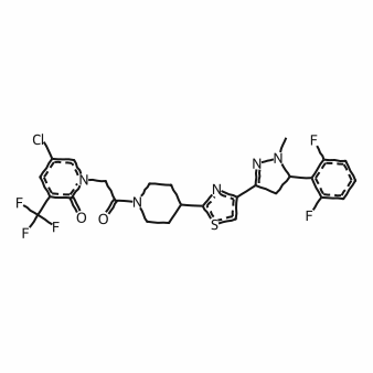 CN1N=C(c2csc(C3CCN(C(=O)Cn4cc(Cl)cc(C(F)(F)F)c4=O)CC3)n2)CC1c1c(F)cccc1F